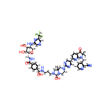 CC1(C)C(=O)c2ccc(-c3cnc(N4CCN5C(O)N(CCCNC(O)c6ccc(C(=O)NC[C@H]7OC[C@H](Nc8cncc(C(F)(F)F)n8)[C@@H](O)[C@H]7O)cc6)C[C@@H]5C4)nc3)nc2N1Cc1cccnc1C#N